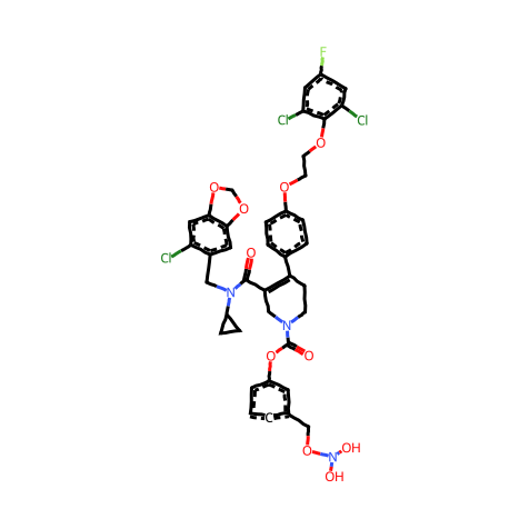 O=C(Oc1cccc(CON(O)O)c1)N1CCC(c2ccc(OCCOc3c(Cl)cc(F)cc3Cl)cc2)=C(C(=O)N(Cc2cc3c(cc2Cl)OCO3)C2CC2)C1